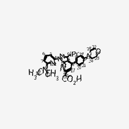 CC(C)c1nn(-c2cccc(N(C)C)n2)c2nc(C(=O)O)cc(-c3ccc(N4CCOCC4)cc3)c12